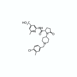 Cc1cc(C(=O)O)cc(NC(=O)[C@H]2CCC(=O)N2C2CCN(Cc3ccc(Cl)c(C)c3)CC2)n1